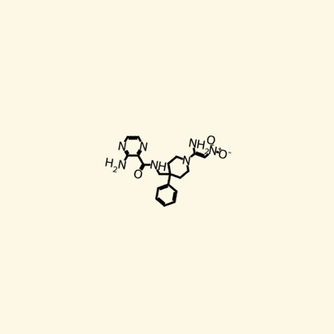 NC(=C[N+](=O)[O-])N1CCC(CNC(=O)c2nccnc2N)(c2ccccc2)CC1